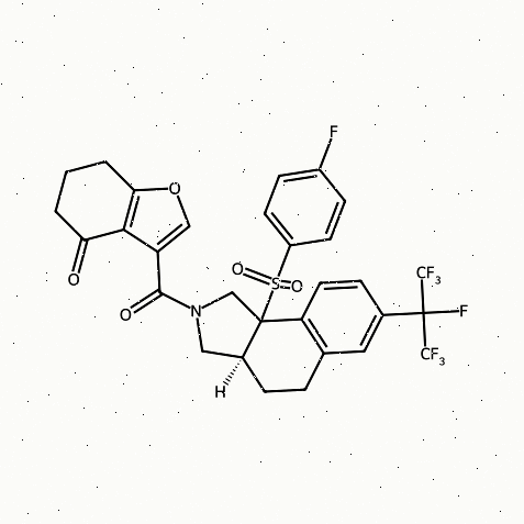 O=C1CCCc2occ(C(=O)N3C[C@@H]4CCc5cc(C(F)(C(F)(F)F)C(F)(F)F)ccc5C4(S(=O)(=O)c4ccc(F)cc4)C3)c21